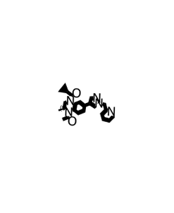 CC(=O)N1c2ccc(-c3cnn(Cc4ccccn4)c3)cc2N(C(=O)C2CC2)C[C@@H]1C